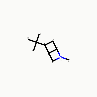 CN1CC2C1CC2C(C)(C)C